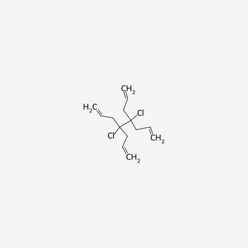 C=CCC(Cl)(CC=C)C(Cl)(CC=C)CC=C